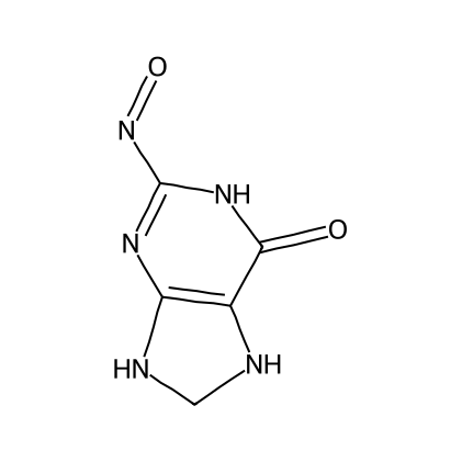 O=Nc1nc2c(c(=O)[nH]1)NCN2